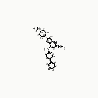 Nc1cc(Nc2ccc(-c3ccccc3)cn2)c2nc([C@H]3CC[C@@H](N)CC3)cn2n1